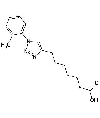 Cc1ccccc1-n1cc(CCCCCCC(=O)O)nn1